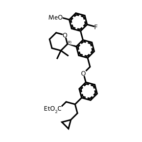 CCOC(=O)CC(CC1CC1)c1cccc(OCc2ccc(-c3cc(OC)ccc3F)c([C@@H]3OCCCC3(C)C)c2)c1